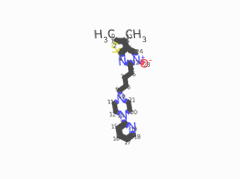 Cc1sc2nc(CCCCN3CCN(c4ccccn4)CC3)[n+]([O-])cc2c1C